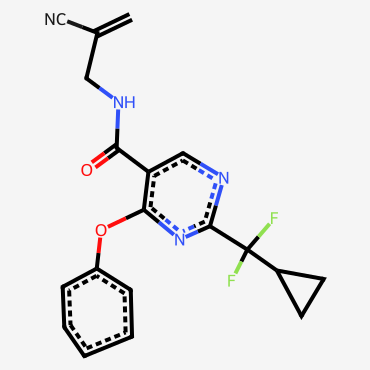 C=C(C#N)CNC(=O)c1cnc(C(F)(F)C2CC2)nc1Oc1ccccc1